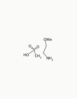 COCCN.CS(=O)(=O)O